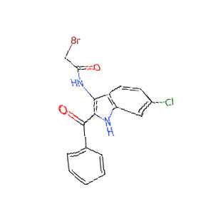 O=C(CBr)Nc1c(C(=O)c2ccccc2)[nH]c2cc(Cl)ccc12